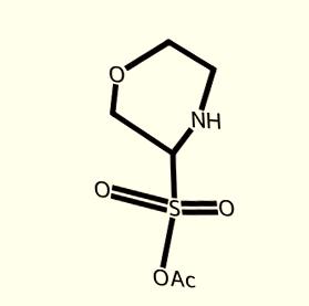 CC(=O)OS(=O)(=O)C1COCCN1